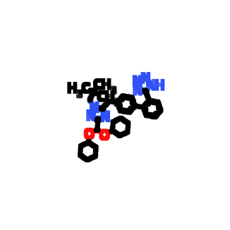 CC(C)(C)Cn1nc(C(OC2CCCCC2)OC2CCCCC2)nc1Cc1ccc(-c2ccccc2-c2nnn[nH]2)cc1